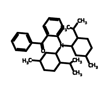 CC1CCC(C(C)C)C(N(c2ccccc2C(=O)c2ccccc2)C2CC(C)CCC2C(C)C)C1